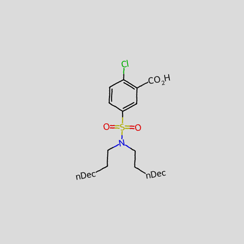 CCCCCCCCCCCCN(CCCCCCCCCCCC)S(=O)(=O)c1ccc(Cl)c(C(=O)O)c1